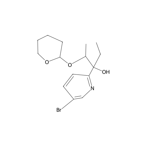 CCC(O)(c1ccc(Br)cn1)C(C)OC1CCCCO1